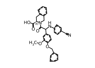 COc1cc(C(Nc2ccc(C#N)cc2)C(=O)N2Cc3ccccc3C[C@@H]2C(=O)O)ccc1OCc1ccccc1